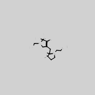 CCN1CC(CC2(C)[C@H](C)CCN2CCO)=C(C)C1(C)C